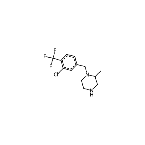 CC1CNCCN1Cc1ccc(C(F)(F)F)c(Cl)c1